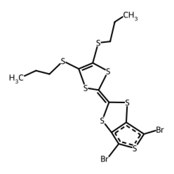 CCCSC1=C(SCCC)SC(=C2Sc3c(Br)sc(Br)c3S2)S1